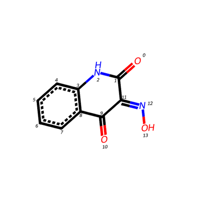 O=C1Nc2ccccc2C(=O)C1=NO